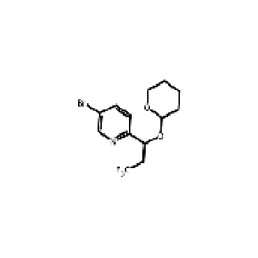 FC(F)(F)CC(OC1CCCCO1)c1ccc(Br)cn1